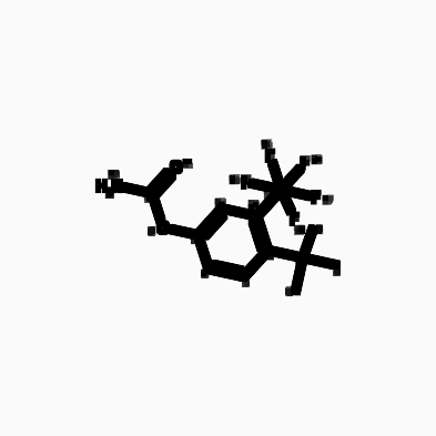 CC(C)(C)c1ccc(OC(N)=O)cc1S(F)(F)(F)(F)F